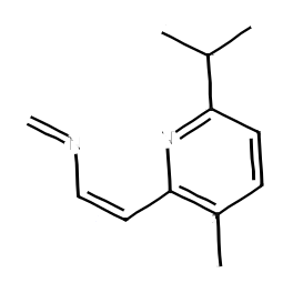 C=N/C=C\c1nc(C(C)C)ccc1C